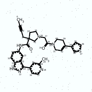 CC#CCC1(C(=O)Nc2ccc3[nH]nc(-c4ccnc(C)c4)c3c2)CCN(CC(=O)N2CC=C(c3ccsc3)CC2)C1